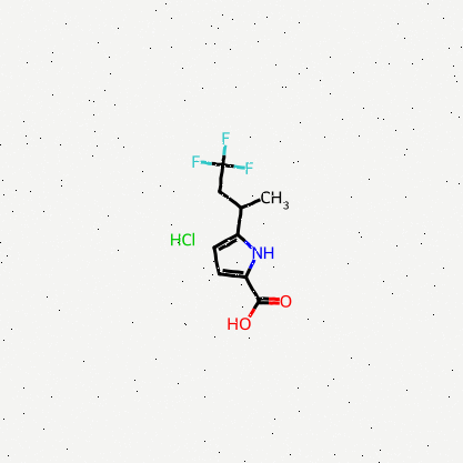 CC(CC(F)(F)F)c1ccc(C(=O)O)[nH]1.Cl